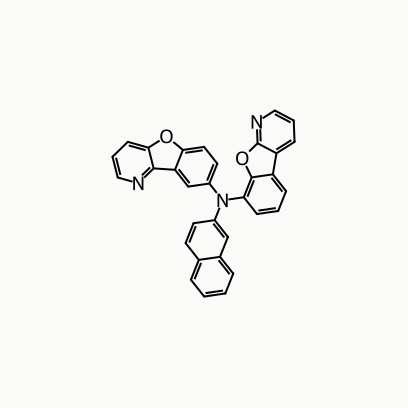 c1ccc2cc(N(c3ccc4oc5cccnc5c4c3)c3cccc4c3oc3ncccc34)ccc2c1